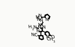 Cn1cc(-c2c(-c3ccccc3C#N)nc(N)n3nc(Cn4nnnc4-c4ccccn4)nc23)ccc1=O